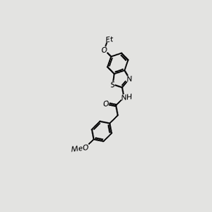 CCOc1ccc2nc(NC(=O)Cc3ccc(OC)cc3)sc2c1